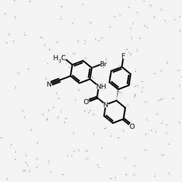 Cc1cc(Br)c(NC(=O)N2C=CC(=O)C[C@H]2c2ccc(F)cc2)cc1C#N